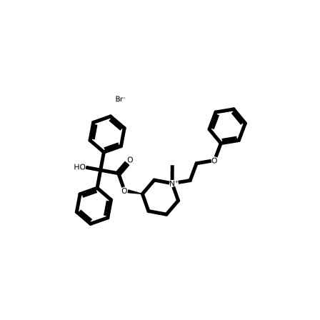 C[N+]1(CCOc2ccccc2)CCC[C@@H](OC(=O)C(O)(c2ccccc2)c2ccccc2)C1.[Br-]